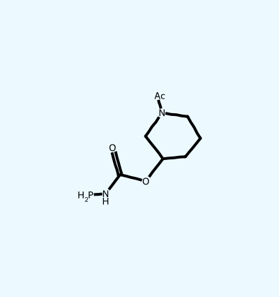 CC(=O)N1CCCC(OC(=O)NP)C1